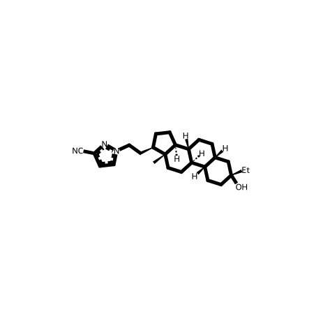 CC[C@@]1(O)CC[C@H]2[C@H](CC[C@@H]3[C@@H]2CC[C@]2(C)[C@@H](CCn4ccc(C#N)n4)CC[C@@H]32)C1